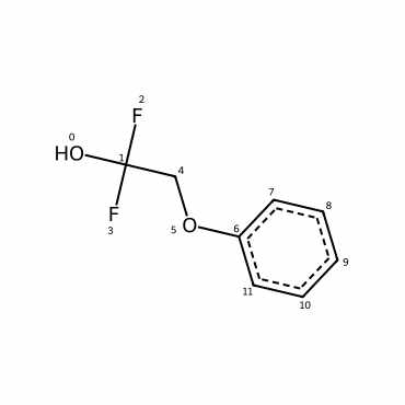 OC(F)(F)COc1ccccc1